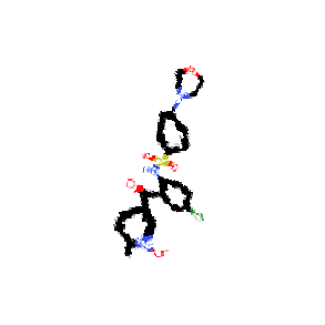 Cc1ccc(C(=O)c2cc(Cl)ccc2NS(=O)(=O)c2ccc(N3CCOCC3)cc2)c[n+]1[O-]